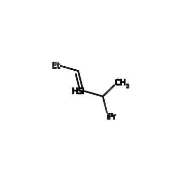 [CH2]CC=[SiH]C(C)C(C)C